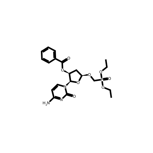 CCOP(=O)(CO[C@@H]1C[C@H](OC(=O)c2ccccc2)[C@H](n2ccc(N)nc2=O)O1)OCC